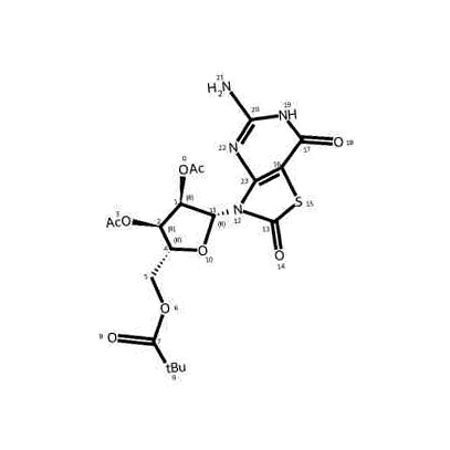 CC(=O)O[C@@H]1[C@H](OC(C)=O)[C@@H](COC(=O)C(C)(C)C)O[C@H]1n1c(=O)sc2c(=O)[nH]c(N)nc21